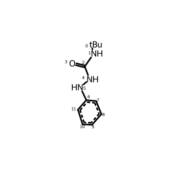 CC(C)(C)NC(=O)NNc1ccccc1